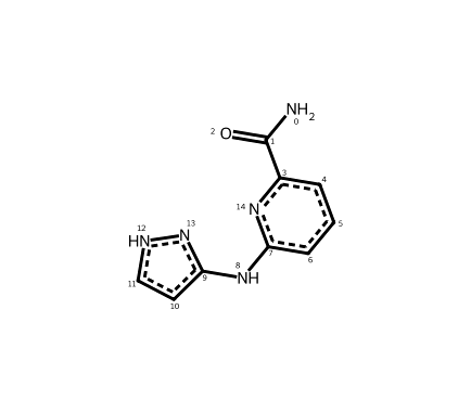 NC(=O)c1cccc(Nc2cc[nH]n2)n1